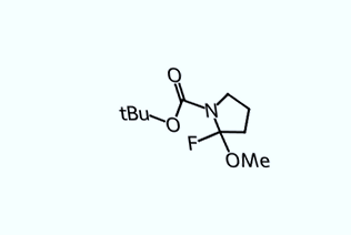 COC1(F)CCCN1C(=O)OC(C)(C)C